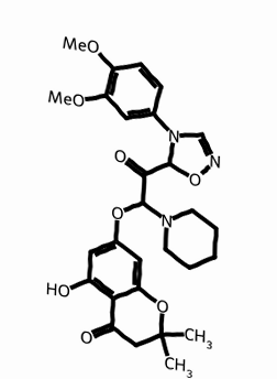 COc1ccc(N2C=NOC2C(=O)C(Oc2cc(O)c3c(c2)OC(C)(C)CC3=O)N2CCCCC2)cc1OC